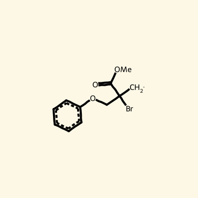 [CH2]C(Br)(COc1ccccc1)C(=O)OC